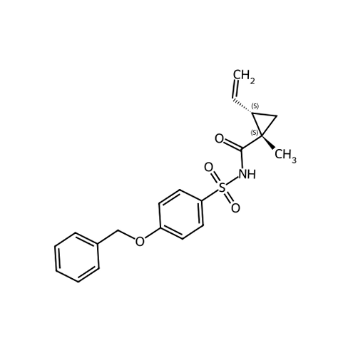 C=C[C@@H]1C[C@]1(C)C(=O)NS(=O)(=O)c1ccc(OCc2ccccc2)cc1